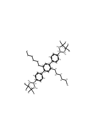 CCCCCCc1cc(-c2ccc(B3OC(C)(C)C(C)(C)O3)cc2)c(CCCCCC)cc1-c1ccc(B2OC(C)(C)C(C)(C)O2)cc1